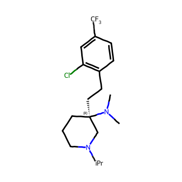 CC(C)N1CCC[C@@](CCc2ccc(C(F)(F)F)cc2Cl)(N(C)C)C1